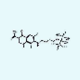 Cc1c(NCCCCCC(O)(P(=O)(O)O)P(=O)(O)O)c(F)cc2c(=O)c(C(=O)O)c[nH]c12